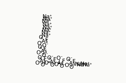 O=[As]([O-])([O-])F.O=[As]([O-])([O-])F.O=[As]([O-])([O-])F.O=[As]([O-])([O-])F.O=[As]([O-])([O-])F.O=[As]([O-])([O-])F.[Na+].[Na+].[Na+].[Na+].[Na+].[Na+].[Na+].[Na+].[Na+].[Na+].[Na+].[Na+]